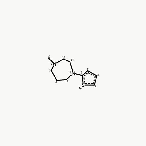 CN1CCCN(c2cccs2)CC1